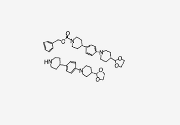 O=C(OCc1ccccc1)N1CCC(c2ccc(N3CCC(C4OCCO4)CC3)cc2)CC1.c1cc(N2CCC(C3OCCO3)CC2)ccc1C1CCNCC1